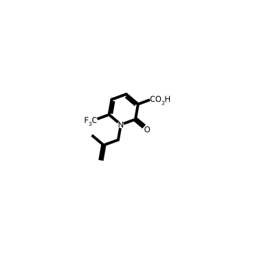 C=C(C)Cn1c(C(F)(F)F)ccc(C(=O)O)c1=O